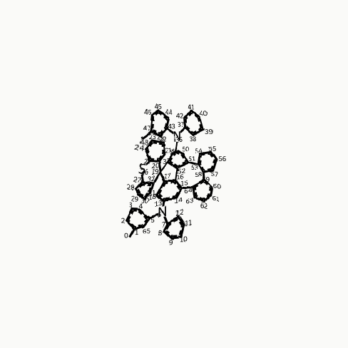 Cc1cccc(N(c2ccccc2)c2cc3c4c(c2)C2(c5ccccc5Sc5ccccc52)c2cc(N(c5ccccc5)c5cccc(C)c5)cc(c2-4)-c2ccccc2-c2ccccc2-3)c1